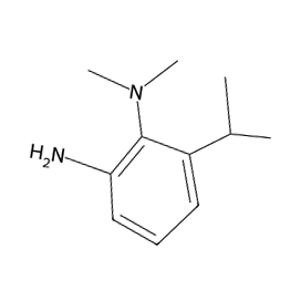 CC(C)c1cccc(N)c1N(C)C